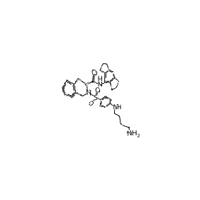 NCCCCNc1ccc(S(=O)(=O)N2Cc3ccccc3C[C@H]2C(=O)Nc2c3c(cc4c2CCC4)CCC3)cc1